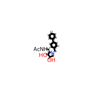 CC(=O)NC[C@@H]1[C@@H](O)[C@@H](O)CN1Cc1ccc(-c2ccccc2)cc1